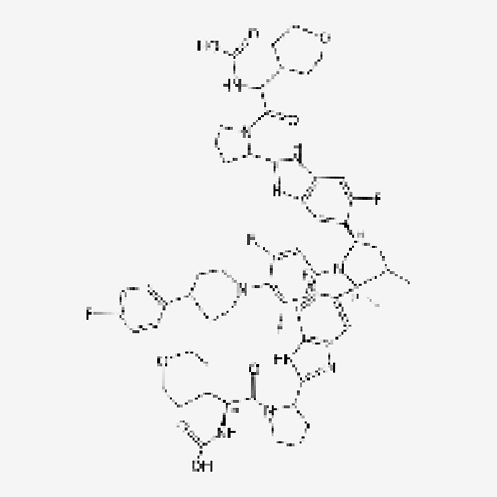 CC1C[C@H](c2cc3nc(C4CCCN4C(=O)C(NC(=O)O)C4CCOCC4)[nH]c3cc2F)N(c2cc(F)c(N3CCC(c4ccc(F)cc4)CC3)c(F)c2)[C@]1(C)c1cc2nc(C3CCCN3C(=O)[C@@H](NC(=O)O)C3CCOCC3)[nH]c2cc1F